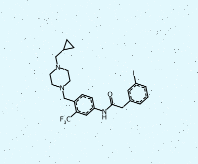 O=C(Cc1cccc(I)c1)Nc1ccc(CN2CCN(CC3CC3)CC2)c(C(F)(F)F)c1